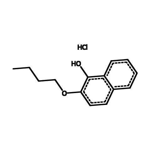 CCCCOc1ccc2ccccc2c1O.Cl